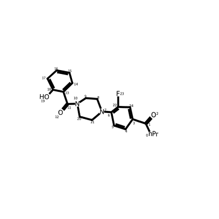 CCCC(=O)c1ccc(N2CCN(C(=O)c3ccccc3O)CC2)c(F)c1